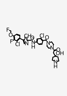 Cn1c(-c2ccc(OCF)c(F)c2Cl)cnc1C(=O)Nc1ccc(C(=O)N2CCN(C(=O)CC3(O)CCNCC3)CC2)c(Cl)c1